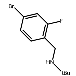 CC(C)(C)NCc1ccc(Br)cc1F